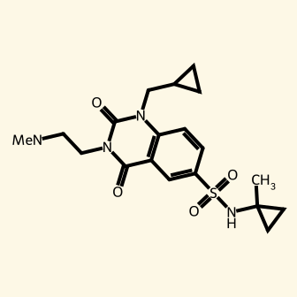 CNCCn1c(=O)c2cc(S(=O)(=O)NC3(C)CC3)ccc2n(CC2CC2)c1=O